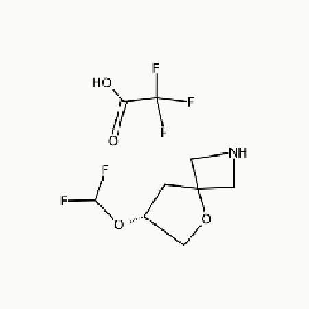 FC(F)O[C@H]1COC2(CNC2)C1.O=C(O)C(F)(F)F